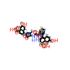 Cc1c2ccc(c1NC(=O)Nc1c3ccc(c1C)N(c1ccc(S(=O)(=O)O)c4cc(O)ccc14)S3(=O)=O)S(=O)(=O)N2c1ccc(S(=O)(=O)O)c2cc(O)ccc12